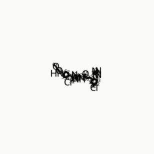 COCONc1ccc(-c2nc(CNC(=O)/C=C/c3cc(Cl)ccc3-n3cnnn3)[nH]c2Cl)cc1